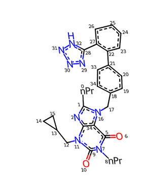 CCCc1nc2c(c(=O)n(CCC)c(=O)n2CC2CC2)n1Cc1ccc(-c2ccccc2-c2nnn[nH]2)cc1